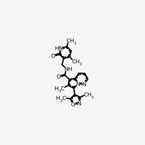 Cc1cc(C)c(CNC(=O)c2c(C)c(-c3c(C)noc3C)n3ncccc23)c(=O)[nH]1